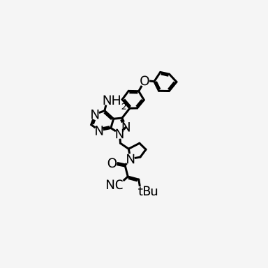 CC(C)(C)C=C(C#N)C(=O)N1CCCC1Cn1nc(-c2ccc(Oc3ccccc3)cc2)c2c(N)ncnc21